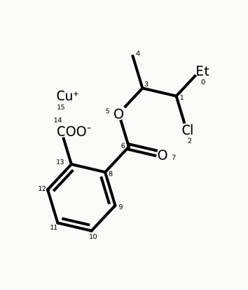 CCC(Cl)C(C)OC(=O)c1ccccc1C(=O)[O-].[Cu+]